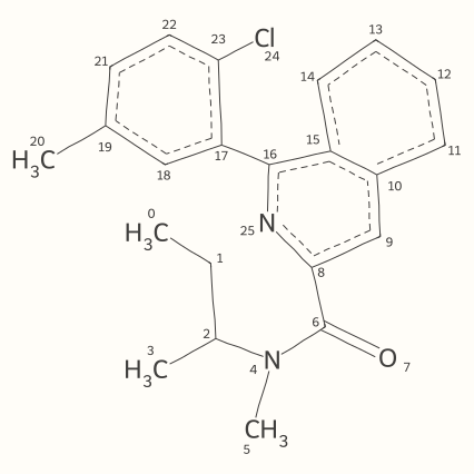 CCC(C)N(C)C(=O)c1cc2ccccc2c(-c2cc(C)ccc2Cl)n1